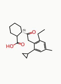 CCc1cc(C)cc(C2CC2)c1CC(=O)[C@H]1CCCCC1C(=O)O